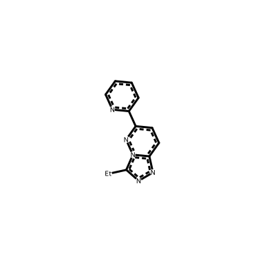 CCc1nnc2ccc(-c3ccccn3)nn12